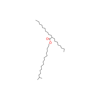 CCCCCCCCCCC(CCCCCCCC)C(=O)OCCCCCCCCCCCCCCCC(C)C